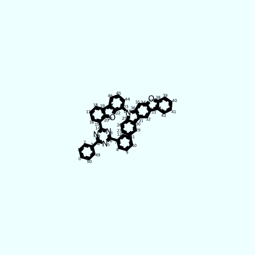 c1ccc(-c2nc(-c3ccccc3)nc(-c3cccc4c3oc3c(-n5c6ccccc6c6cc7c(cc65)oc5ccccc57)cccc34)n2)cc1